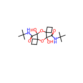 CC(C)(C)NC(=O)[C@]1(O)OC2(CCC2)[C@](O)(C(=O)NC(C)(C)C)OC12CCC2